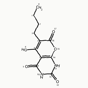 CCCCc1c(O)c2c(=O)[nH]c(=O)[nH]c2oc1=O